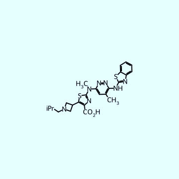 Cc1cc(N(C)c2nc(C(=O)O)c(C3CN(CC(C)C)C3)s2)nnc1Nc1nc2ccccc2s1